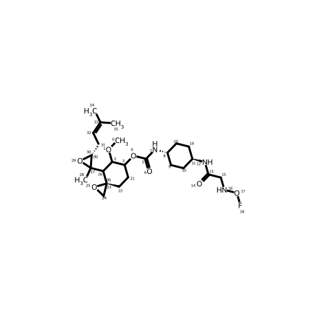 COC1C(OC(=O)N[C@H]2CC[C@H](NC(=O)CNOF)CC2)CC[C@]2(CO2)C1C1(C)O[C@@H]1CC=C(C)C